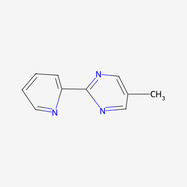 Cc1cnc(-c2ccccn2)nc1